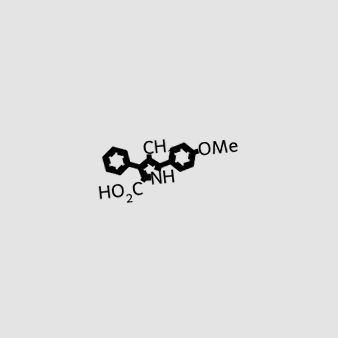 COc1ccc(-c2[nH]c(C(=O)O)c(-c3ccccc3)c2C)cc1